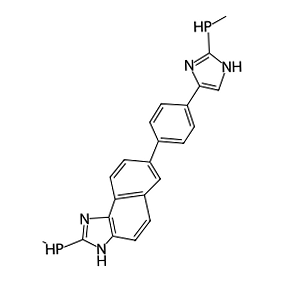 CPc1nc(-c2ccc(-c3ccc4c(ccc5[nH]c(PC)nc54)c3)cc2)c[nH]1